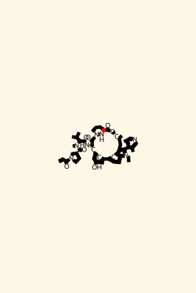 C=CC(=O)N1CC[C@H](C(=O)N(C)C(C(=O)N[C@H]2Cc3cc(O)cc(c3)-c3ccc4c(c3)c(c(-c3c(C)cncc3C)n4CC)CC(C)(C)COC(=O)[C@@H]3CCCN(N3)C2=O)C(C)C)C1